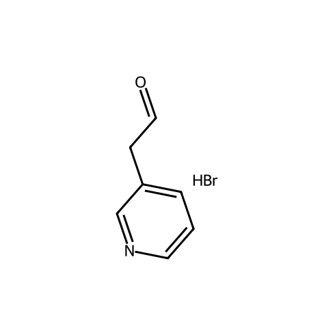 Br.O=CCc1cccnc1